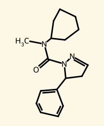 CN(C(=O)N1N=CCC1c1ccccc1)C1CCCCC1